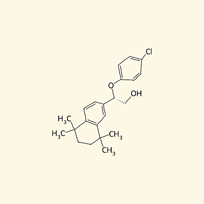 CC1(C)CCC(C)(C)c2cc([C@@H](CO)Oc3ccc(Cl)cc3)ccc21